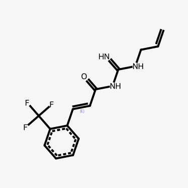 C=CCNC(=N)NC(=O)/C=C/c1ccccc1C(F)(F)F